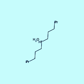 CC(C)CC[CH2][Hf][CH2]CCC(C)C.O